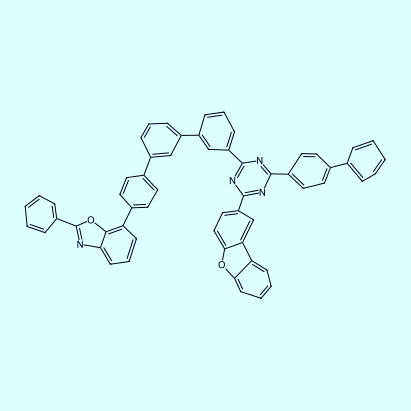 c1ccc(-c2ccc(-c3nc(-c4cccc(-c5cccc(-c6ccc(-c7cccc8nc(-c9ccccc9)oc78)cc6)c5)c4)nc(-c4ccc5oc6ccccc6c5c4)n3)cc2)cc1